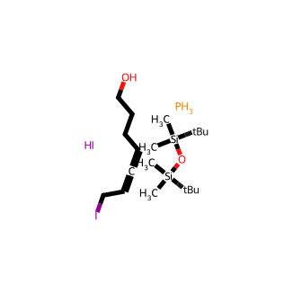 CC(C)(C)[Si](C)(C)O[Si](C)(C)C(C)(C)C.I.OCCCC=C=CCI.P